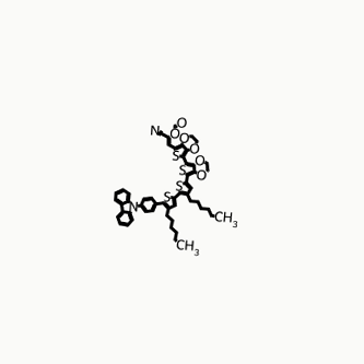 CCCCCCc1cc(-c2sc(-c3sc(-c4sc(/C=C(/C#N)OC=O)c5c4OCCO5)c4c3OCCO4)cc2CCCCCC)sc1-c1ccc(-n2c3ccccc3c3ccccc32)cc1